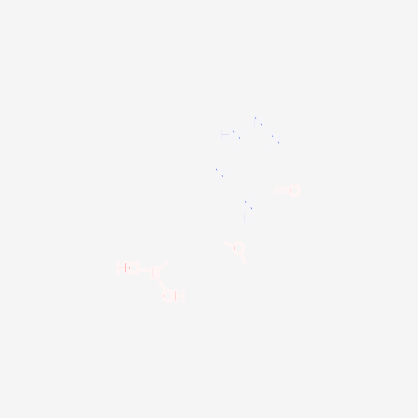 CCOc1cc(B(O)O)ccc1-c1nc2[nH]nnc2c(=O)[nH]1